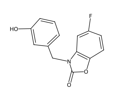 O=c1oc2ccc(F)cc2n1Cc1cccc(O)c1